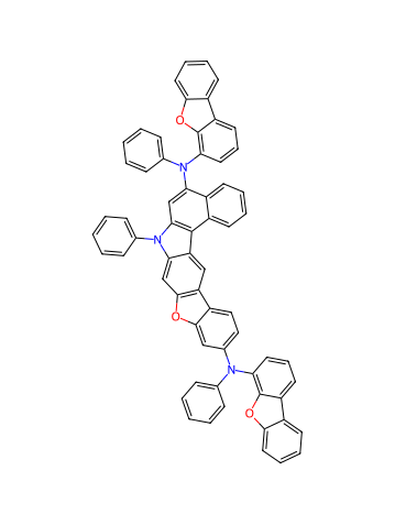 c1ccc(N(c2ccc3c(c2)oc2cc4c(cc23)c2c3ccccc3c(N(c3ccccc3)c3cccc5c3oc3ccccc35)cc2n4-c2ccccc2)c2cccc3c2oc2ccccc23)cc1